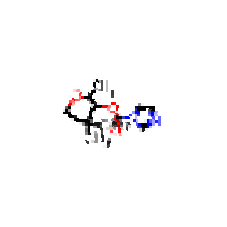 COC1(C)CCOC(C)C1OC(=O)n1ccnc1